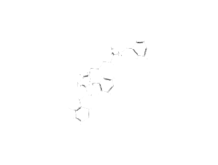 CC1=C(CSc2nnc(CCCCC(=O)NCc3ccccc3)n2-c2ccccc2)CCC=C1